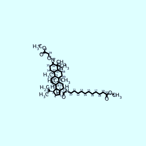 C=C(C)[C@@H]1CC[C@]2(C(=O)NCCCCCCCCCCC(=O)OC)CC[C@]3(C)[C@H](CCC4[C@@]5(C)CCC(=NOCC(=O)OC)C(C)(C)[C@@H]5CC[C@]43C)[C@@H]12